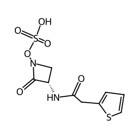 O=C(Cc1cccs1)N[C@H]1CN(OS(=O)(=O)O)C1=O